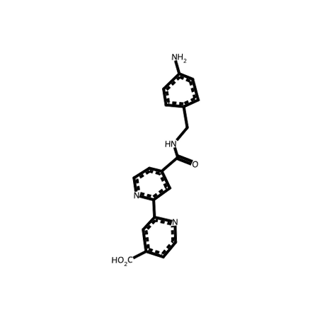 Nc1ccc(CNC(=O)c2ccnc(-c3cc(C(=O)O)ccn3)c2)cc1